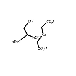 CCCCCCCCCCC(CO)CCCCCCCC.O=C(O)C[Se]CC(=O)O